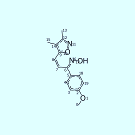 COc1ccc(C(/C=C\c2onc(C)c2C)=N\O)cc1